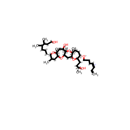 C=C/C=C\CCCO[C@H]1CC[C@@]2(C)O[C@H]3C(O)C[C@@]4(C)O[C@@H](CCCC(C)C(C)CCO)C(C)CC4OC3CC2OC1CC[C@@H](C)O